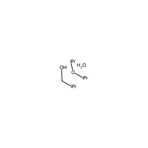 CC(C)CO.CC(C)OC(C)C.O